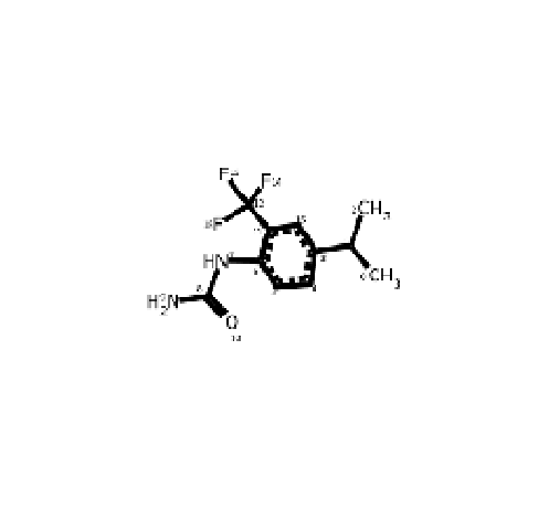 CC(C)c1ccc(NC(N)=O)c(C(F)(F)F)c1